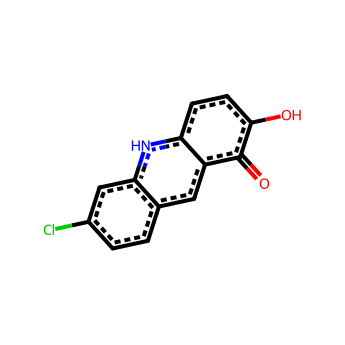 O=c1c(O)ccc2[nH]c3cc(Cl)ccc3cc1-2